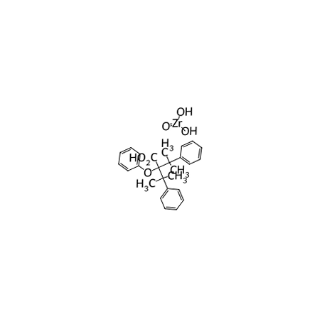 CC(C)(c1ccccc1)C(Oc1ccccc1)(C(=O)O)C(C)(C)c1ccccc1.[O]=[Zr]([OH])[OH]